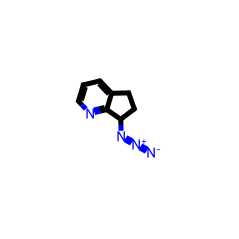 [N-]=[N+]=NC1CCc2cccnc21